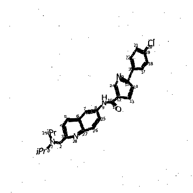 CC(C)N(Cc1ccc2cc(NC(=O)c3ccc(-c4ccc(Cl)cc4)nc3)ccc2n1)C(C)C